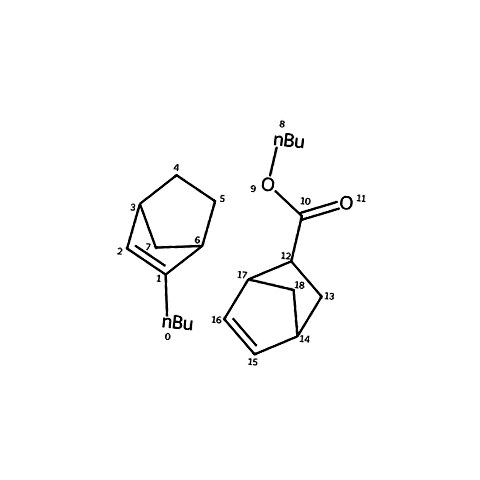 CCCCC1=CC2CCC1C2.CCCCOC(=O)C1CC2C=CC1C2